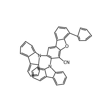 N#Cc1c(-n2c3ccccc3c3ccccc32)c(-n2c3ccccc3c3ccccc32)cc2c1oc1c(-c3ccccc3)cccc12